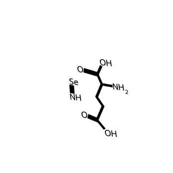 N=[Se].NC(CCC(=O)O)C(=O)O